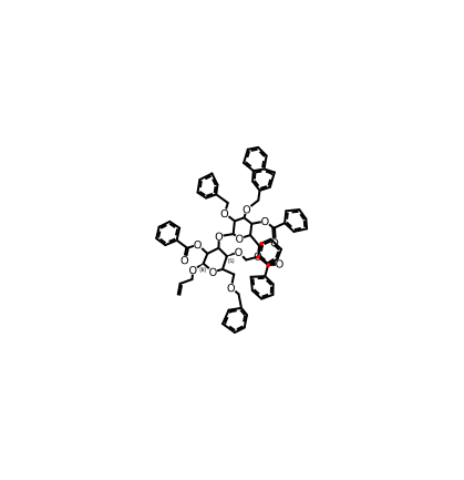 C=CCO[C@@H]1OC(COCc2ccccc2)[C@H](OCc2ccccc2)C(OC2OC(COC(=O)c3ccccc3)C(OC(=O)c3ccccc3)C(OCc3ccc4ccccc4c3)C2OCc2ccccc2)C1OC(=O)c1ccccc1